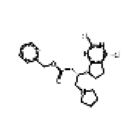 O=C(C[C@@H](CN1CCCC1)N1CCc2c(Cl)nc(Cl)nc21)OCc1ccccc1